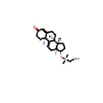 CC(C)(C)C[Si](C)(C)O[C@H]1CC[C@H]2[C@@H]3CCC4=CC(=O)CC[C@]4(I)C3=CC[C@]12C